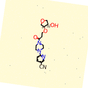 N#Cc1ccc(N2CCN(C(=O)CCO[C@@H]3COC[C@@H]3O)CC2)nc1